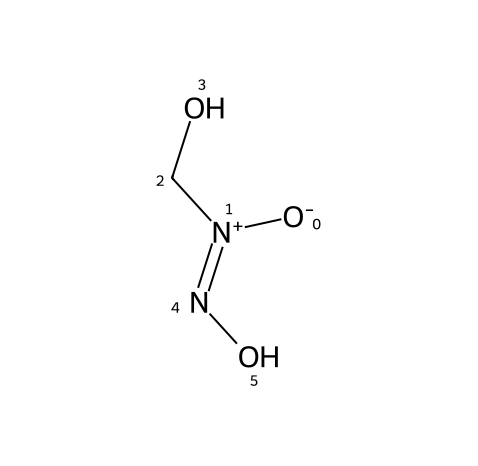 [O-][N+](CO)=NO